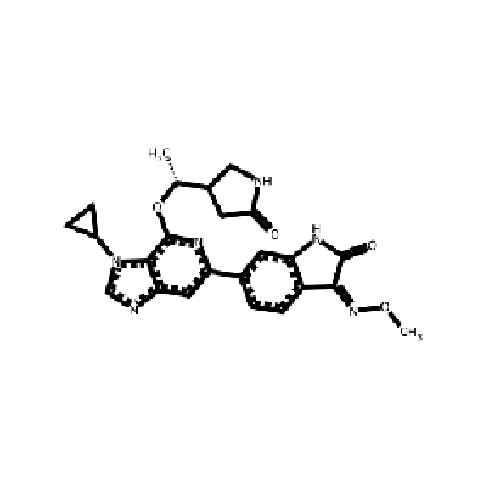 CON=C1C(=O)Nc2cc(-c3cc4ncn(C5CC5)c4c(O[C@H](C)C4CNC(=O)C4)n3)ccc21